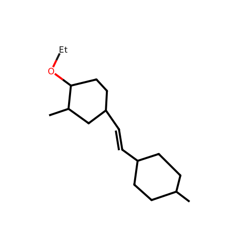 CCOC1CCC(C=CC2CCC(C)CC2)CC1C